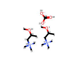 COC(C)C[N+](C)(C)C.COC(C)C[N+](C)(C)C.O=C([O-])[O-]